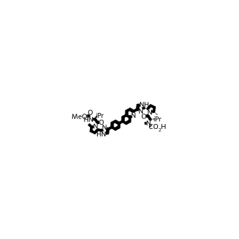 COC(=O)N[C@H](C(=O)N1C(C)CCC1c1nc(-c2ccc(-c3ccc4nc(-c5c[nH]c([C@@H]6CC[C@H](C)N6C(=O)[C@H](C(C)C)N(C)C(=O)O)n5)ccc4c3)cc2)c[nH]1)C(C)C